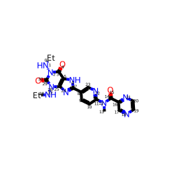 CCNn1c(=O)c2[nH]c(-c3ccc(N(C)C(=O)c4cnccn4)nc3)nc2n(NCC)c1=O